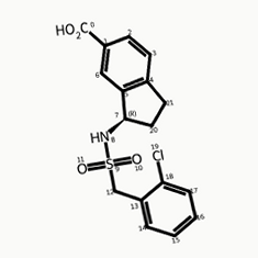 O=C(O)c1ccc2c(c1)[C@H](NS(=O)(=O)Cc1ccccc1Cl)CC2